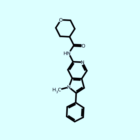 Cn1c(-c2ccccc2)cc2cnc(NC(=O)C3CCOCC3)cc21